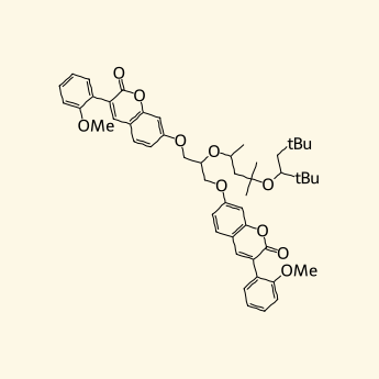 COc1ccccc1-c1cc2ccc(OCC(COc3ccc4cc(-c5ccccc5OC)c(=O)oc4c3)OC(C)CC(C)(C)OC(CC(C)(C)C)C(C)(C)C)cc2oc1=O